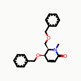 CN1C(=O)C=C[C@@H](OCc2ccccc2)[C@H]1COCc1ccccc1